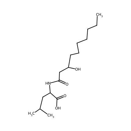 CCCCCCCC(O)CC(=O)NC(CC(C)C)C(=O)O